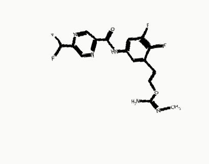 C/N=C(/N)OCCc1cc(NC(=O)c2cnc(C(F)F)cn2)cc(F)c1F